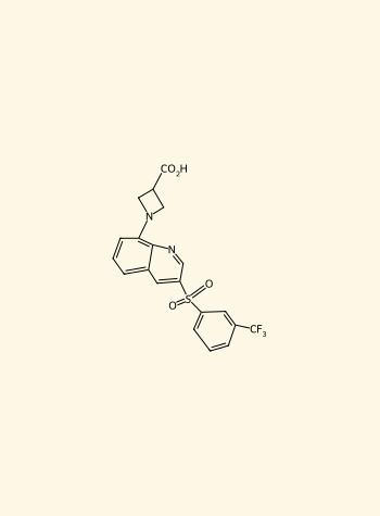 O=C(O)C1CN(c2cccc3cc(S(=O)(=O)c4cccc(C(F)(F)F)c4)cnc23)C1